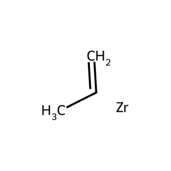 C=CC.[Zr]